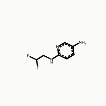 Nc1ccc(NCC(F)F)nc1